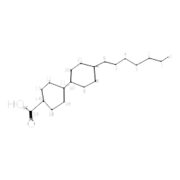 CCCCCCCC1CCC(C2CCC(C(=O)O)CC2)CC1